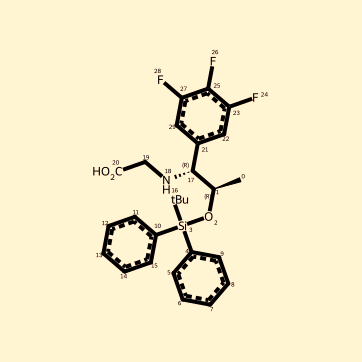 C[C@@H](O[Si](c1ccccc1)(c1ccccc1)C(C)(C)C)[C@H](NCC(=O)O)c1cc(F)c(F)c(F)c1